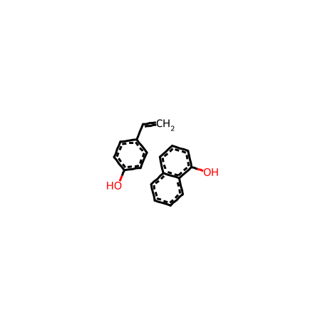 C=Cc1ccc(O)cc1.Oc1cccc2ccccc12